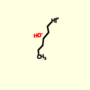 CCCCC[CH2][Hf+].[OH-]